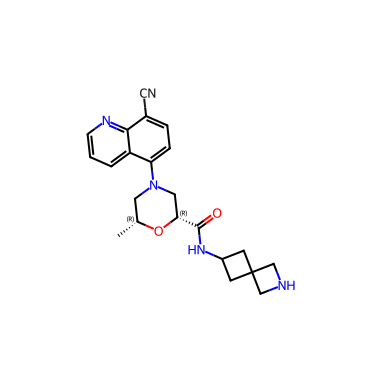 C[C@@H]1CN(c2ccc(C#N)c3ncccc23)C[C@H](C(=O)NC2CC3(CNC3)C2)O1